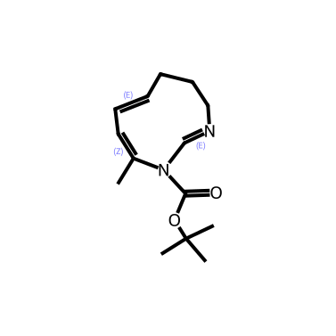 C/C1=C/C=C/CCC/N=C/N1C(=O)OC(C)(C)C